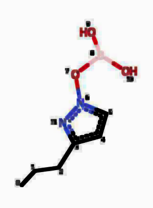 CCCc1ccn(OB(O)O)n1